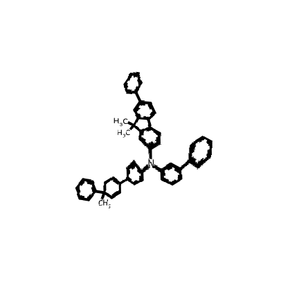 CC1(c2ccccc2)C=CC(c2ccc(N(c3cccc(-c4ccccc4)c3)c3ccc4c(c3)C(C)(C)c3cc(-c5ccccc5)ccc3-4)cc2)=CC1